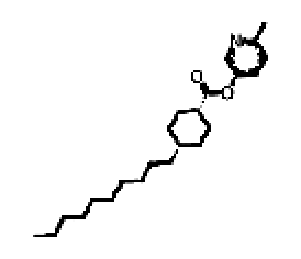 CCCCCCCCCC[C@H]1CC[C@H](C(=O)Oc2ccc(C)nc2)CC1